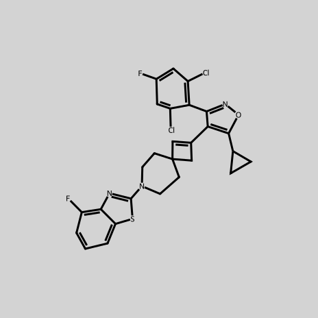 Fc1cc(Cl)c(-c2noc(C3CC3)c2C2=CC3(CCN(c4nc5c(F)cccc5s4)CC3)C2)c(Cl)c1